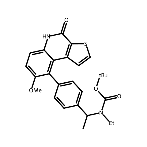 CCN(C(=O)OC(C)(C)C)C(C)c1ccc(-c2c(OC)ccc3[nH]c(=O)c4sccc4c23)cc1